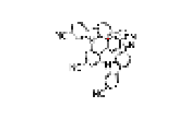 N#Cc1ccc(-c2c(-n3c4cc(C#N)ccc4c4ccc(C#N)cc43)cc(C#N)cc2-n2c3cc(C#N)ccc3c3ccc(C#N)cc32)cc1